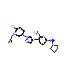 Cc1nc(NC2CCCC2)ccc1-c1cnn(-c2ccc(=O)n(CC3CC3)c2)c1